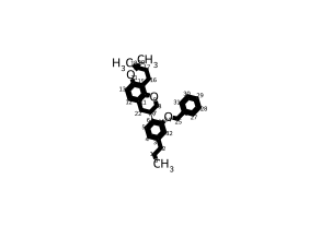 CCCc1ccc([C@H]2COc3c(ccc4c3CCC(C)(C)O4)C2)c(OCc2ccccc2)c1